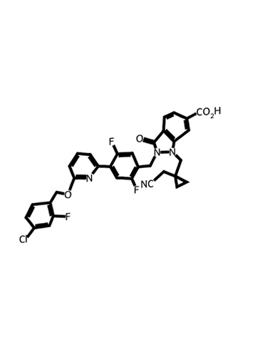 N#CCC1(Cn2c3cc(C(=O)O)ccc3c(=O)n2Cc2cc(F)c(-c3cccc(OCc4ccc(Cl)cc4F)n3)cc2F)CC1